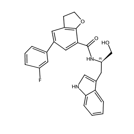 O=C(N[C@@H](CO)Cc1c[nH]c2ccccc12)c1cc(-c2cccc(F)c2)cc2c1OCC2